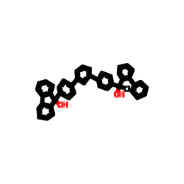 CC(O)(c1ccc(-c2cccc(-c3ccc(C4(O)c5ccccc5-c5ccccc54)cc3)c2)cc1)c1ccccc1-c1ccccc1